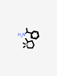 CC(N)c1ccccc1.CC1CCCC[Si]1(C)C